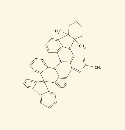 Cc1cc2c3c(c1)N1c4c(cccc4C4(C)CCCCC14C)B3N1c3ccccc3S3(c4ccccc4-c4ccccc43)c3cccc-2c31